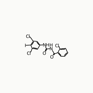 O=C(NC(=O)c1ccccc1Cl)Nc1cc(Cl)c(I)c(Cl)c1